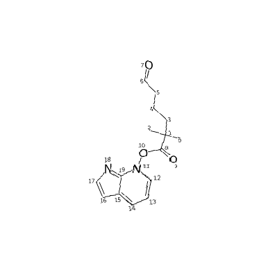 CC(C)(CCCC=O)C(=O)On1cccc2ccnc1-2